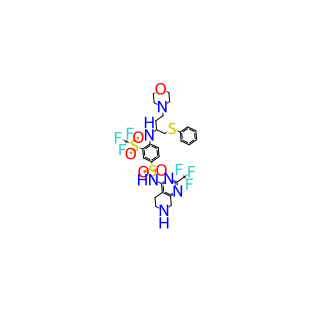 O=S(=O)(Nc1nc(C(F)(F)F)nc2c1CCNC2)c1ccc(NC(CCN2CCOCC2)CSc2ccccc2)c(S(=O)(=O)C(F)(F)F)c1